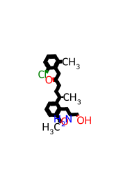 CC(=O)c1cccc([C@H](C)CCC(=O)Cc2c(C)cccc2Cl)c1C[C@@H](N)CO